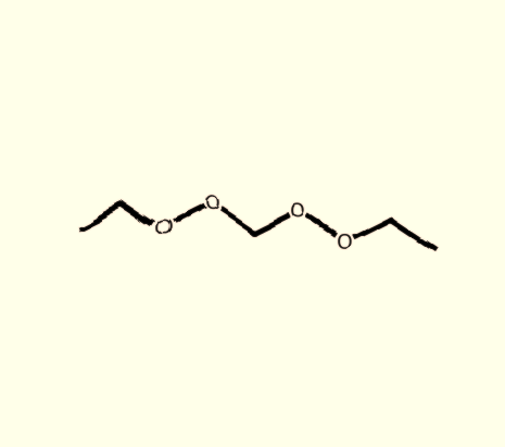 CCOOCOOCC